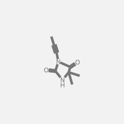 CC#CN1C(=O)NC(C)(C)C1=O